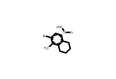 CCOC=O.Cc1c(Br)ccc2c1CCCC2